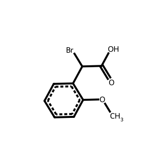 COc1ccccc1C(Br)C(=O)O